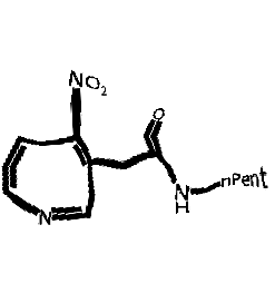 CCCCCNC(=O)c1cnccc1[N+](=O)[O-]